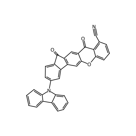 N#Cc1cccc2oc3cc4c(cc3c(=O)c12)C(=O)c1ccc(-n2c3ccccc3c3ccccc32)cc1-4